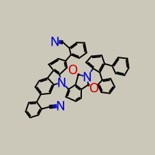 N#Cc1ccccc1-c1ccc2c3ccc(-c4ccccc4C#N)cc3n(-c3cccc4c3C(=O)N(c3cccc(-c5ccccc5)c3-c3ccccc3)C4=O)c2c1